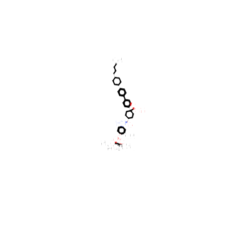 CCCCC[C@H]1CC[C@H](c2ccc(-c3ccc([C@]4(C(=O)O)CC[C@H](C(=O)Nc5ccc(B6OC(C)(C)C(C)(C)O6)c(C)c5)CC4)cc3)cc2)CC1